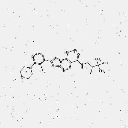 CC(C)Nc1c(C(=O)NCC(F)C(C)(C)O)cnn2cc(-c3ccnc(N4CCOCC4)c3F)cc12